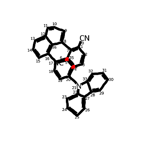 N#Cc1cccc(C#N)c1-c1cccc2cccc(-c3ccc(-n4c5ccccc5c5ccccc54)cc3)c12